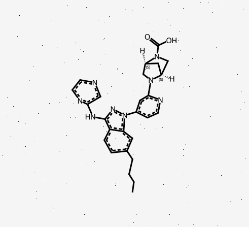 CCCCc1ccc2c(Nc3cnccn3)nn(-c3ccnc(N4C[C@@H]5C[C@H]4CN5C(=O)O)c3)c2c1